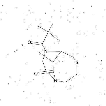 CC1C(=O)N2CCSCC1N(C(=O)C(C)(C)C)CC2